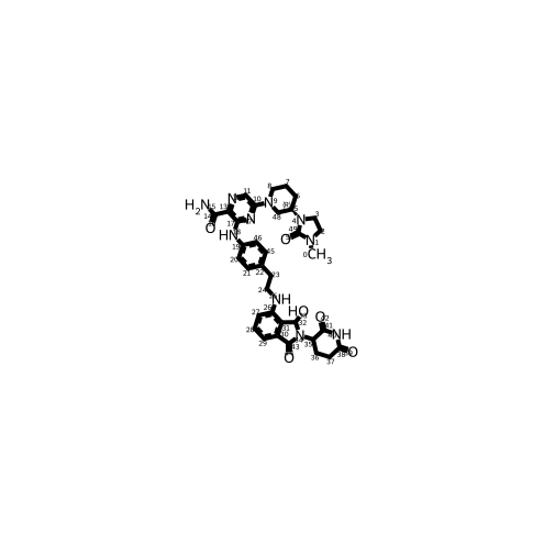 CN1CCN([C@@H]2CCCN(c3cnc(C(N)=O)c(Nc4ccc(CCNc5cccc6c5C(O)N(C5CCC(=O)NC5=O)C6=O)cc4)n3)C2)C1=O